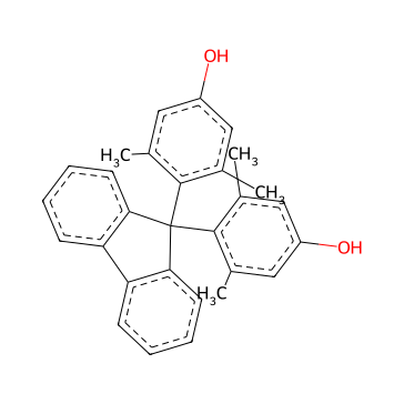 Cc1cc(O)cc(C)c1C1(c2c(C)cc(O)cc2C)c2ccccc2-c2ccccc21